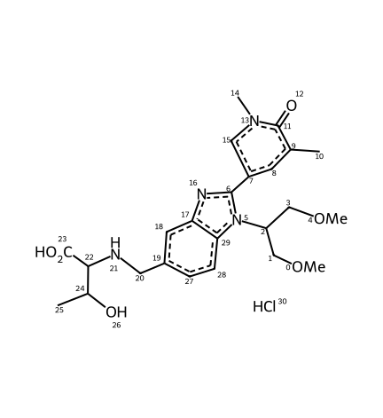 COCC(COC)n1c(-c2cc(C)c(=O)n(C)c2)nc2cc(CNC(C(=O)O)C(C)O)ccc21.Cl